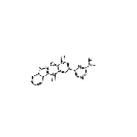 CNc1cncc(-c2c[nH]c(=O)c(NC3=NSC4C=CC=CC34)c2)n1